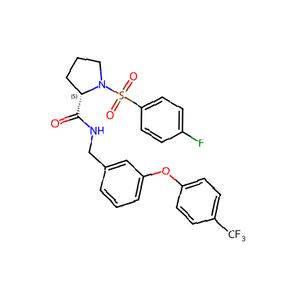 O=C(NCc1cccc(Oc2ccc(C(F)(F)F)cc2)c1)[C@@H]1CCCN1S(=O)(=O)c1ccc(F)cc1